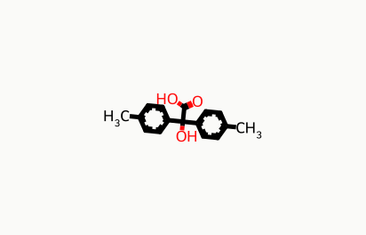 Cc1ccc(C(O)(C(=O)O)c2ccc(C)cc2)cc1